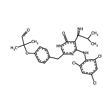 CC(C)C(=N)c1c(Nc2c(Cl)cc(Cl)cc2Cl)nc(Cc2ccc(OC(C)(C)C=O)cc2)[nH]c1=O